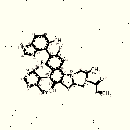 C=CC(=O)N1CC2Cc3c(c4cc(F)c(-c5c(C)ccc6[nH]cnc56)c(F)c4n(-c4c(C(C)C)ncnc4C(C)C)c3=O)N2CC1C